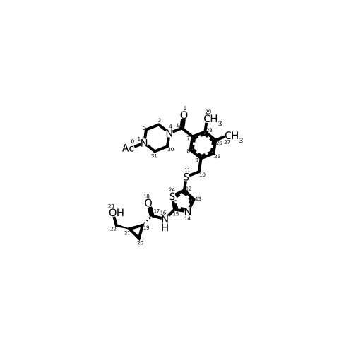 CC(=O)N1CCN(C(=O)c2cc(CSc3cnc(NC(=O)[C@@H]4C[C@H]4CO)s3)cc(C)c2C)CC1